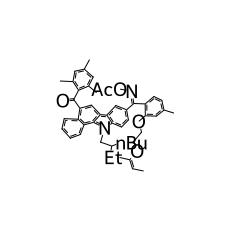 C/C=C(/C)OCCOc1cc(C)ccc1/C(=N/OC(C)=O)c1ccc2c(c1)c1cc(C(=O)c3c(C)cc(C)cc3C)c3ccccc3c1n2CC(CC)CCCC